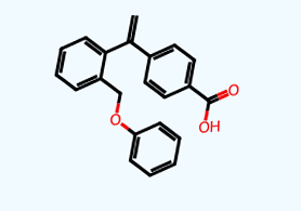 C=C(c1ccc(C(=O)O)cc1)c1ccccc1COc1ccccc1